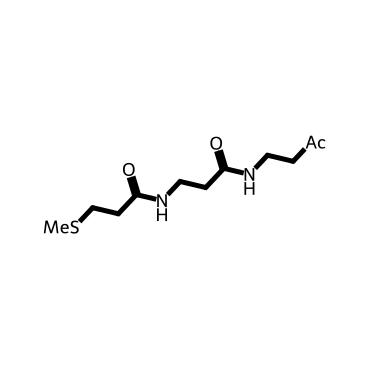 CSCCC(=O)NCCC(=O)NCCC(C)=O